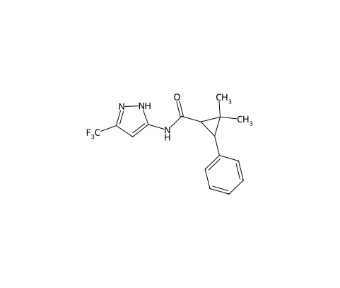 CC1(C)C(C(=O)Nc2cc(C(F)(F)F)n[nH]2)C1c1ccccc1